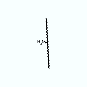 CCCCCCCCCCCCCCCCCCCC(CCN)CCCCCCCCCCCCCCCCCC